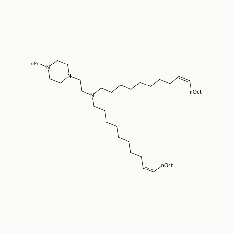 CCCCCCCC/C=C\CCCCCCCCN(CCCCCCCC/C=C\CCCCCCCC)CCN1CCN(CCC)CC1